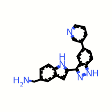 NCc1ccc2[nH]c(-c3n[nH]c4ccc(-c5cccnc5)cc34)cc2c1